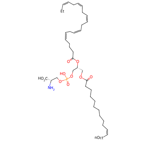 CC/C=C\C/C=C\C/C=C\C/C=C\C/C=C\CCCC(=O)O[C@H](COC(=O)CCCCCCCCC/C=C\CCCCCCCC)COP(=O)(O)OC[C@H](N)C(=O)O